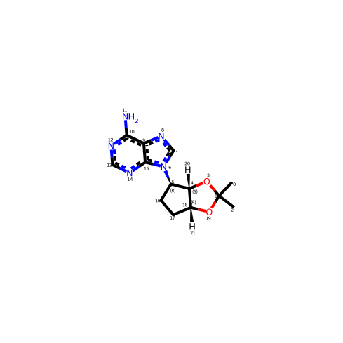 CC1(C)O[C@H]2[C@H](n3cnc4c(N)ncnc43)CC[C@H]2O1